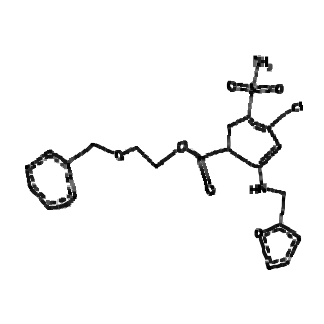 NS(=O)(=O)C1=C(Cl)C=C(NCc2ccco2)C(C(=O)OCCOCc2ccccc2)C1